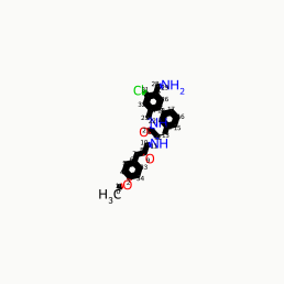 CCOc1ccc(CC(=O)CN[C@@H](Cc2ccccc2)C(=O)NCc2ccc(CN)c(Cl)c2)cc1